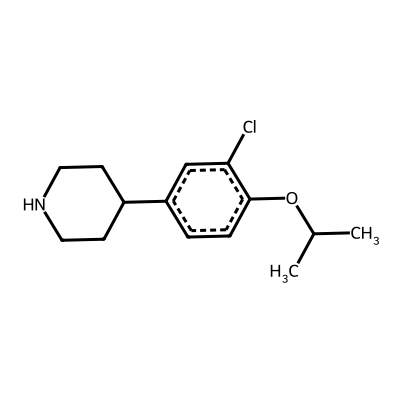 CC(C)Oc1ccc(C2CCNCC2)cc1Cl